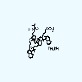 C=C(C)C(=O)NCCc1ccc(OC2=C(C=CC3N(CCCS(=O)(=O)O)c4ccc5ccccc5c4C3(C)C)CCCC2=CC=C2N(CCCS(=O)(=O)O)c3ccc4ccccc4c3C2(C)C)cc1.[NaH].[NaH]